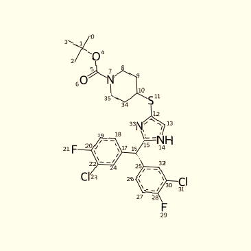 CC(C)(C)OC(=O)N1CCC(Sc2c[nH]c(C(c3ccc(F)c(Cl)c3)c3ccc(F)c(Cl)c3)n2)CC1